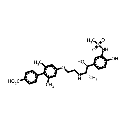 Cc1cc(OCCN[C@@H](C)[C@H](O)c2ccc(O)c(NS(C)(=O)=O)c2)cc(C)c1-c1ccc(C(=O)O)cc1